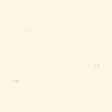 O=C(O)Oc1ccc(O)cc1OC(=O)O